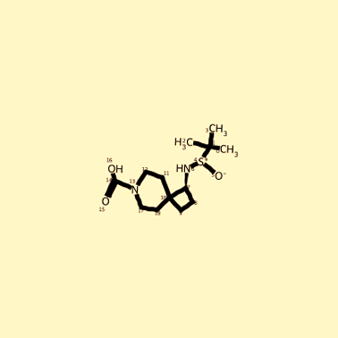 CC(C)(C)[S+]([O-])N[C@H]1CCC12CCN(C(=O)O)CC2